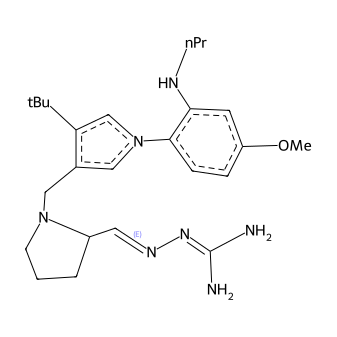 CCCNc1cc(OC)ccc1-n1cc(CN2CCCC2/C=N/N=C(N)N)c(C(C)(C)C)c1